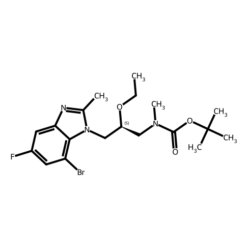 CCO[C@@H](CN(C)C(=O)OC(C)(C)C)Cn1c(C)nc2cc(F)cc(Br)c21